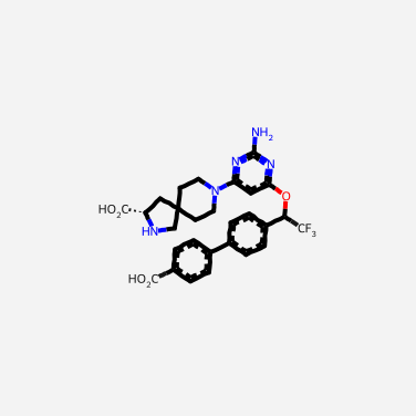 Nc1nc(OC(c2ccc(-c3ccc(C(=O)O)cc3)cc2)C(F)(F)F)cc(N2CCC3(CC2)CN[C@H](C(=O)O)C3)n1